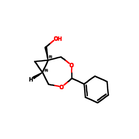 OC[C@@]12COC(C3=CC=CCC3)OC[C@@H]1C2